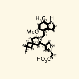 COc1cc(C)c2[nH]ccc2c1CN1CCC2(CC1c1cnn(CC(=O)O)c1)CC(F)(F)C2